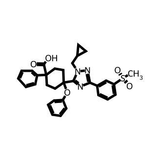 CS(=O)(=O)c1cccc(-c2nc(C3(Oc4ccccc4)CCC(C(=O)O)(c4ccccc4)CC3)n(CC3CC3)n2)c1